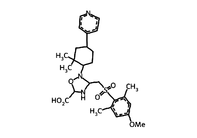 COc1cc(C)c(S(=O)(=O)CC2NC(C(=O)O)ON2C2CCC(c3ccncc3)CC2(C)C)c(C)c1